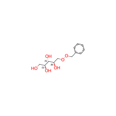 OC[C@H](O)[C@H](O)[C@H](O)COOCc1ccccc1